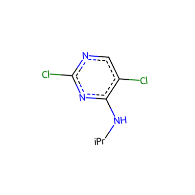 CC(C)Nc1nc(Cl)ncc1Cl